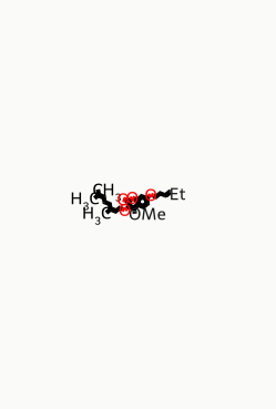 CCC=CCCOc1ccc2c(OC)c(OCC=C(C)CCC=C(C)C)c(=O)oc2c1